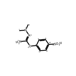 CN(C)N=C(N)Oc1ccc(S(=O)(=O)O)cc1